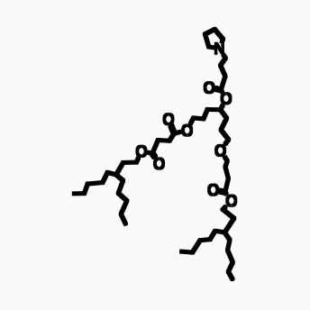 CCCCCC(CCCCC)CCOC(=O)CCCOCCCC(CCCOC(=O)CCC(=O)OCCC(CCCCC)CCCCC)OC(=O)CCCN1CCCC1